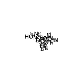 COc1nc(C(C)O)nc(C)c1Cn1ccc(C(F)(F)C(F)F)c(Oc2cc(Cl)cc(C#N)c2F)c1=O